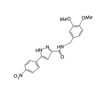 COc1ccc(CNC(=O)c2cc(-c3ccc([N+](=O)[O-])cc3)[nH]n2)cc1OC